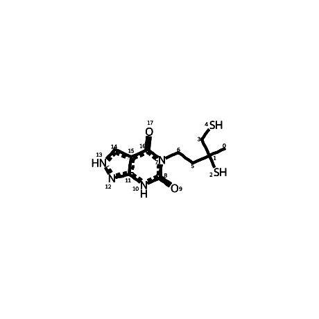 CC(S)(CS)CCn1c(=O)[nH]c2n[nH]cc2c1=O